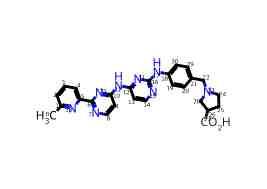 Cc1cccc(-c2nccc(Nc3ccnc(Nc4ccc(CN5CCC(C(=O)O)C5)cc4)n3)n2)n1